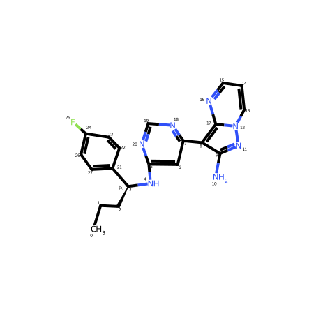 CCC[C@H](Nc1cc(-c2c(N)nn3cccnc23)ncn1)c1ccc(F)cc1